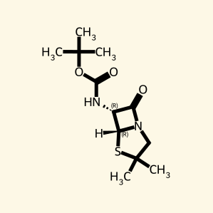 CC(C)(C)OC(=O)N[C@@H]1C(=O)N2CC(C)(C)S[C@H]12